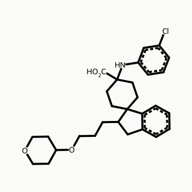 O=C(O)C1(Nc2cccc(Cl)c2)CCC2(CC1)c1ccccc1CC2CCCOC1CCOCC1